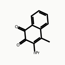 CCCC1=C(C)c2ccccc2C(=O)C1=O